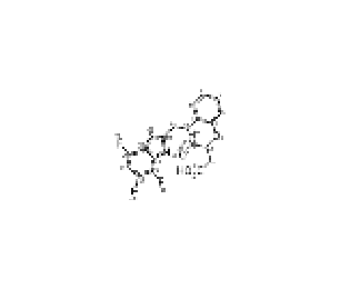 O=C(O)CC1Oc2ccccc2C(Cc2nc3c(F)c(F)cc(F)c3s2)[NH+]1[O-]